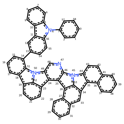 c1ccc(-n2c3ccccc3c3cc(-c4cccc5c6cccc7c8c9c%10c%11ccccc%11cc%11c%12c%13ccccc%13ccc%12n(c9ncc8n(c45)c67)c%11%10)ccc32)cc1